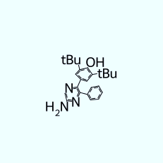 CC(C)(C)c1cc(-c2ncc(N)nc2-c2ccccc2)cc(C(C)(C)C)c1O